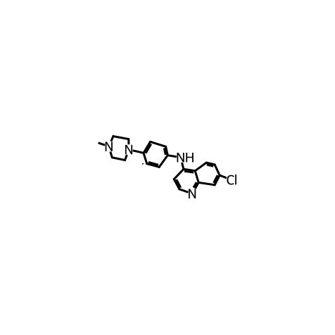 CN1CCN(c2[c]cc(Nc3ccnc4cc(Cl)ccc34)cc2)CC1